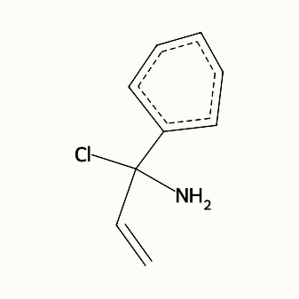 C=CC(N)(Cl)c1ccccc1